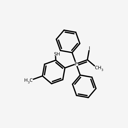 CC(I)=P(c1ccccc1)(c1ccccc1)c1ccc(C)cc1S